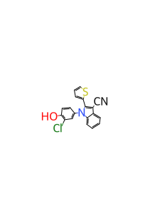 N#Cc1c(-c2cccs2)n(-c2ccc(O)c(Cl)c2)c2ccccc12